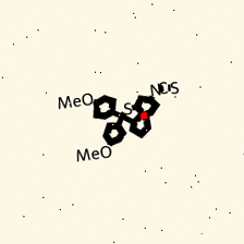 COc1ccc(C(Sc2cccc(N=C=S)c2)(c2ccccc2)c2ccc(OC)cc2)cc1